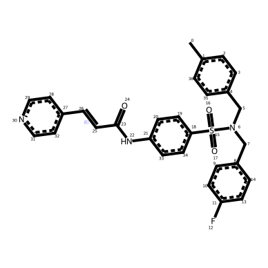 Cc1ccc(CN(Cc2ccc(F)cc2)S(=O)(=O)c2ccc(NC(=O)/C=C/c3ccncc3)cc2)cc1